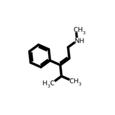 CNC/C=C(\c1ccccc1)C(C)C